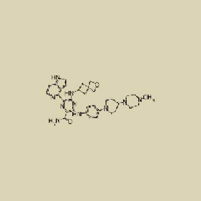 CN1CCN(C2CCN(c3ccc(Nc4nc(NC5CC6(COC6)C5)c(-c5nccc6[nH]ccc56)nc4C(N)=O)cc3)CC2)CC1